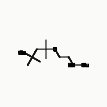 CC(C)(C)NCCOC(C)(C)CC(C)(C)C(C)(C)C